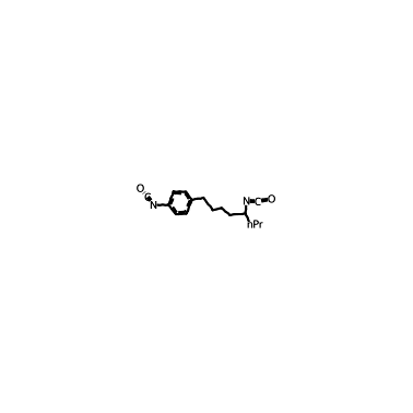 CCCC(CCCCc1ccc(N=C=O)cc1)N=C=O